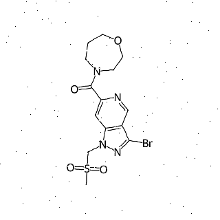 CS(=O)(=O)Cn1nc(Br)c2cnc(C(=O)N3CCCOCC3)cc21